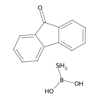 O=C1c2ccccc2-c2ccccc21.OB(O)[SiH3]